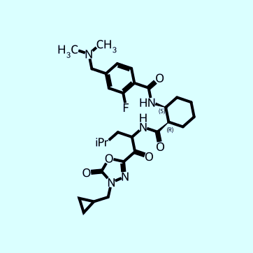 CC(C)CC(NC(=O)[C@@H]1CCCC[C@@H]1NC(=O)c1ccc(CN(C)C)cc1F)C(=O)c1nn(CC2CC2)c(=O)o1